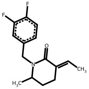 C/C=C1\CCC(C)N(Cc2ccc(F)c(F)c2)C1=O